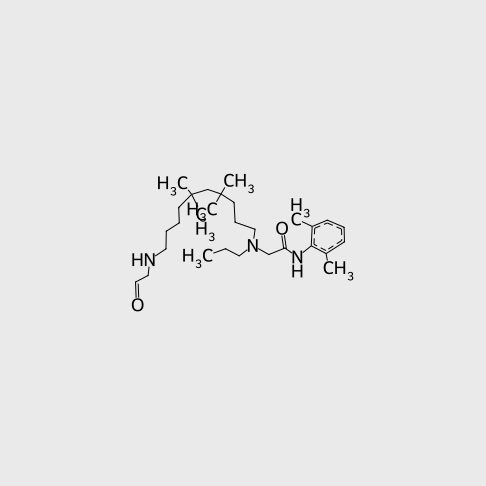 CCCN(CCCC(C)(C)CC(C)(C)CCCCNCC=O)CC(=O)Nc1c(C)cccc1C